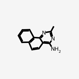 Cc1nc(N)c2ccc3c(c2n1)C=C=C=C3